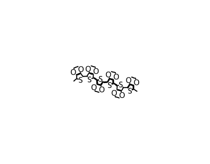 Cc1sc(C2S/C(=c3/s/c(=c4/s/c(=C5/SC(C6SC(C)C7=C6OCCO7)C6=C5OCCO6)c5c4OCCO5)c4c3OCCO4)C3=C2OCCO3)c2c1OCCO2